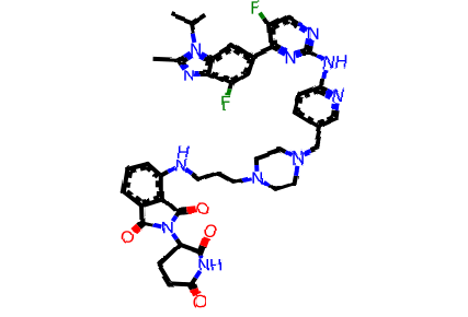 Cc1nc2c(F)cc(-c3nc(Nc4ccc(CN5CCN(CCCNc6cccc7c6C(=O)N(C6CCC(=O)NC6=O)C7=O)CC5)cn4)ncc3F)cc2n1C(C)C